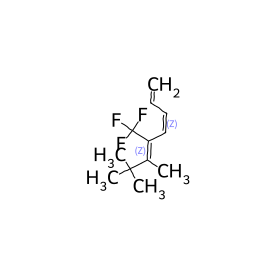 C=C/C=C\C(=C(/C)C(C)(C)C)C(F)(F)F